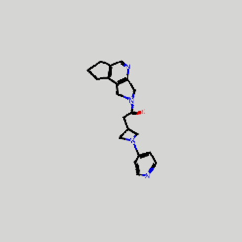 O=C(CC1CN(c2ccncc2)C1)N1Cc2ncc3c(c2C1)CCC3